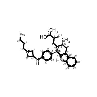 CC(O)C(F)CN1[C@H](c2ccc(NC3CN(CCCF)C3)cc2)c2[nH]c3ccccc3c2C[C@H]1C